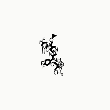 CCc1nonc1C(=O)NC(c1cn2ncc(C(COC3CC3)N3CC(F)(F)CNC3=O)cc2n1)C1CCC(F)(F)CC1